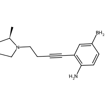 Bc1ccc(N)c(C#CCCN2CCC[C@H]2C)c1